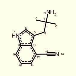 CC(C)(N)Cc1c[nH]c2cccc(C#N)c12